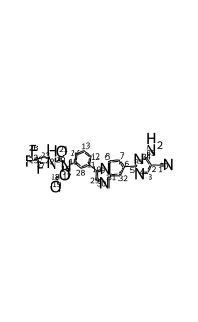 N#Cc1cnc(-c2ccn3c(-c4cccc(N(OC=O)C(=O)NCC(F)(F)F)c4)cnc3c2)nc1N